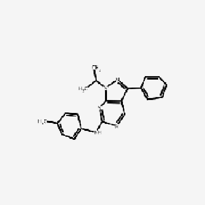 Cc1ccc(Nc2ncc3c(-c4ccccc4)nn(C(C)C)c3n2)cc1